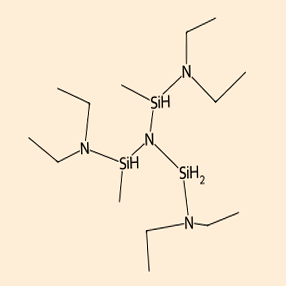 CCN(CC)[SiH2]N([SiH](C)N(CC)CC)[SiH](C)N(CC)CC